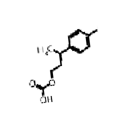 CC(CCOC(=O)O)c1ccc(I)cc1